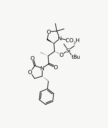 C[C@@H](C(=O)N1C(=O)OC[C@H]1Cc1ccccc1)[C@@H](O[Si](C)(C)C(C)(C)C)[C@H]1COC(C)(C)N1C(=O)O